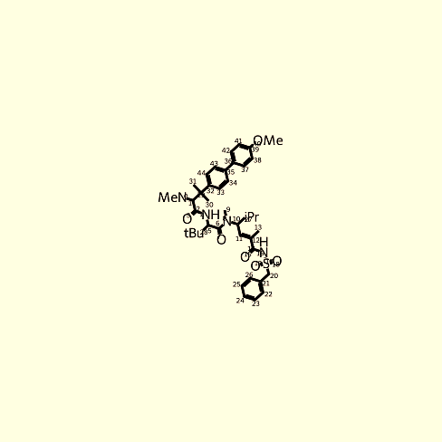 CNC(C(=O)NC(C(=O)N(C)C(/C=C(\C)C(=O)NS(=O)(=O)Cc1ccccc1)C(C)C)C(C)(C)C)C(C)(C)c1ccc(-c2ccc(OC)cc2)cc1